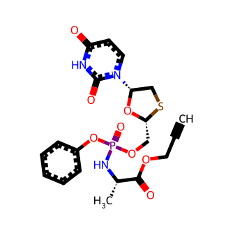 C#CCOC(=O)[C@H](C)NP(=O)(OC[C@@H]1O[C@H](n2ccc(=O)[nH]c2=O)CS1)Oc1ccccc1